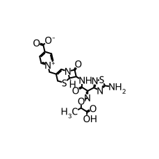 CC(O/N=C(\C(=O)NC1C(=O)N2C=C(C[n+]3ccc(C(=O)[O-])cc3)CS[C@H]12)c1nsc(N)n1)C(=O)O